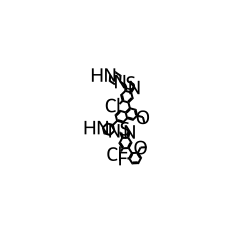 COc1cc(-c2cc3nsc(N4CCNCC4)c3cc2Cl)c2ccc(C3CNCCN3c3snc4cc(-c5c(F)cccc5OC)c(Cl)cc34)cc2c1